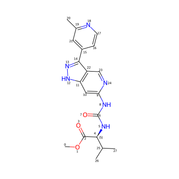 COC(=O)[C@@H](NC(=O)Nc1cc2[nH]nc(-c3ccnc(C)c3)c2cn1)C(C)C